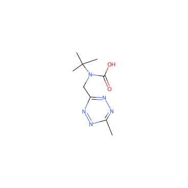 Cc1nnc(CN(C(=O)O)C(C)(C)C)nn1